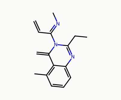 C=C/C(=N\C)N1C(=C)c2c(C)cccc2N=C1CC